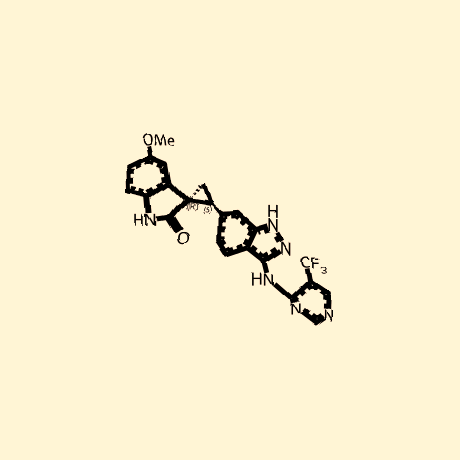 COc1ccc2c(c1)[C@]1(C[C@H]1c1ccc3c(Nc4ncncc4C(F)(F)F)n[nH]c3c1)C(=O)N2